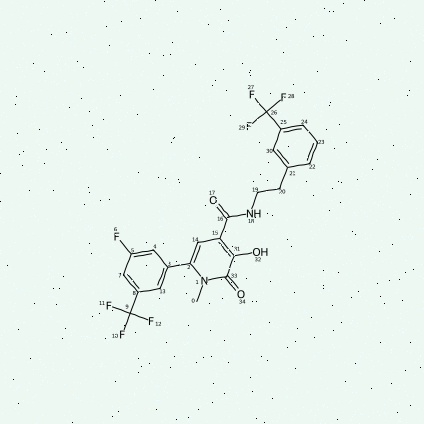 Cn1c(-c2cc(F)cc(C(F)(F)F)c2)cc(C(=O)NCCc2cccc(C(F)(F)F)c2)c(O)c1=O